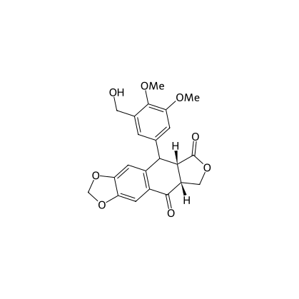 COc1cc(C2c3cc4c(cc3C(=O)[C@H]3COC(=O)[C@@H]23)OCO4)cc(CO)c1OC